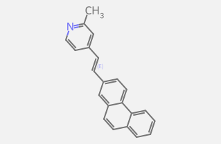 Cc1cc(/C=C/c2ccc3c(ccc4ccccc43)c2)ccn1